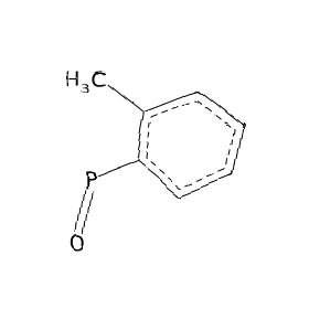 Cc1ccccc1P=O